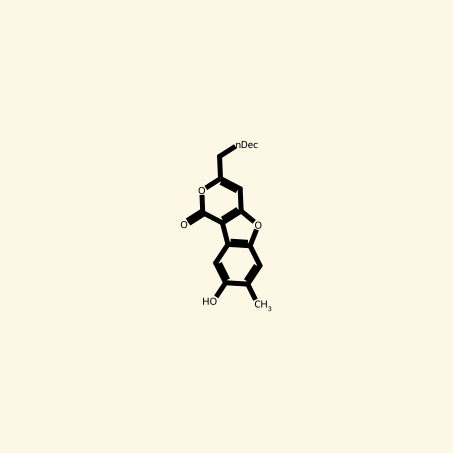 CCCCCCCCCCCc1cc2oc3cc(C)c(O)cc3c2c(=O)o1